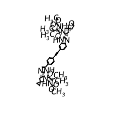 COC(=O)N[C@H](C(=O)N1CC2(CC2)C[C@H]1c1ncc(-c2ccc(C#Cc3ccc4nc([C@@H]5C[C@@]6(CCOC6)CN5C(=O)[C@@H](NC(=O)OC)C(C)C)[nH]c4c3)cc2)[nH]1)C(C)C